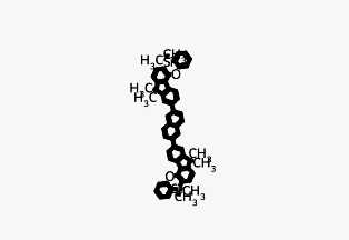 CC1(C)c2cc(-c3ccc4cc(-c5ccc6c(c5)C(C)(C)c5ccc7c(c5-6)Oc5ccccc5[Si]7(C)C)ccc4c3)ccc2-c2c1ccc1c2Oc2ccccc2[Si]1(C)C